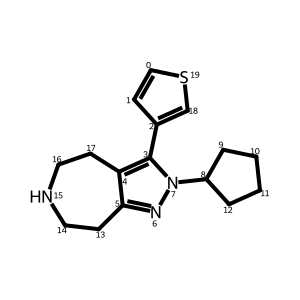 c1cc(-c2c3c(nn2C2CCCC2)CCNCC3)cs1